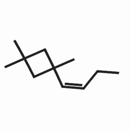 CC/C=C\C1(C)CC(C)(C)C1